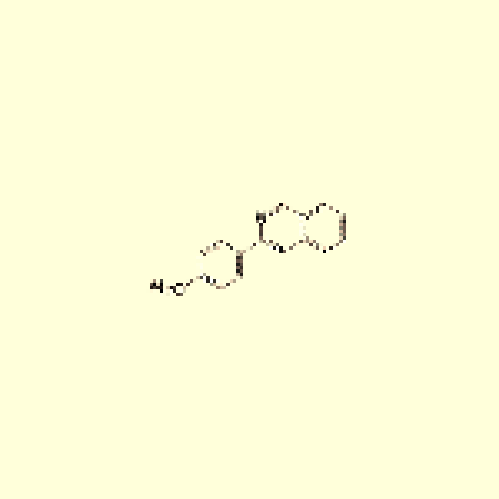 COc1ccc(-c2cc3ccccc3cn2)cc1